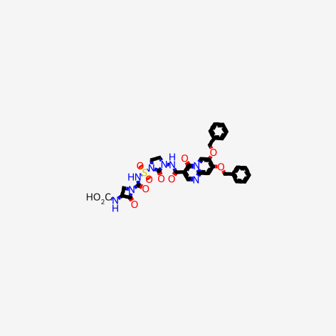 O=C(O)NC1CN(C(=O)NS(=O)(=O)N2CCN(NC(=O)c3cnc4cc(OCc5ccccc5)c(OCc5ccccc5)cn4c3=O)C2=O)C1=O